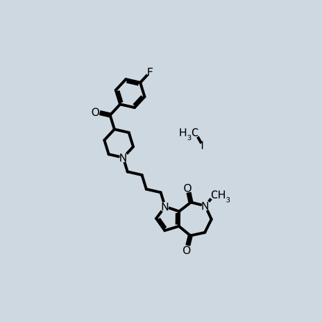 CI.CN1CCC(=O)c2ccn(CCCCN3CCC(C(=O)c4ccc(F)cc4)CC3)c2C1=O